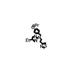 CCCOc1ccc(CN(CCc2cs[c]n2)c2ncc(CC)cn2)cc1